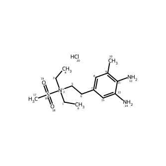 CC[N+](CC)(CCc1cc(C)c(N)c(N)c1)S(C)(=O)=O.Cl